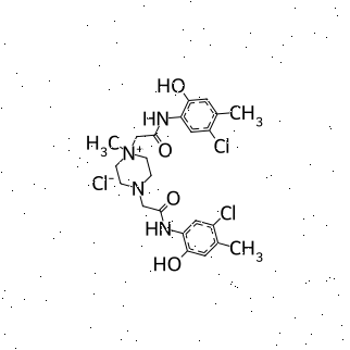 Cc1cc(O)c(NC(=O)CN2CC[N+](C)(CC(=O)Nc3cc(Cl)c(C)cc3O)CC2)cc1Cl.[Cl-]